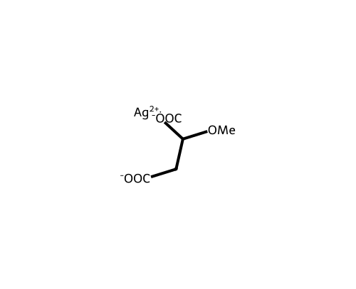 COC(CC(=O)[O-])C(=O)[O-].[Ag+2]